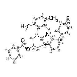 Cc1ccc(C)c(Cn2c3c(c4cccc(-c5ccc(F)cc5)c42)CC(OC(=O)c2ccccc2)CC3)c1